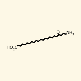 NCCCC(=O)CCCCCCCCCCCCCCCCCCC(=O)O